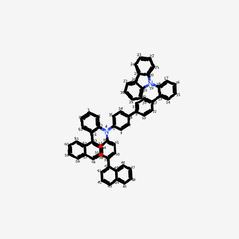 c1ccc(N(c2ccc(-c3ccc(-c4ccccc4-n4c5ccccc5c5ccccc54)cc3)cc2)c2ccc(-c3cccc4ccccc34)cc2)c(-c2cccc3ccccc23)c1